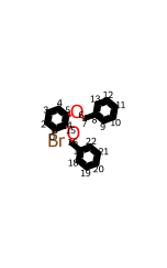 Brc1cccc(OCc2ccccc2)c1OCc1ccccc1